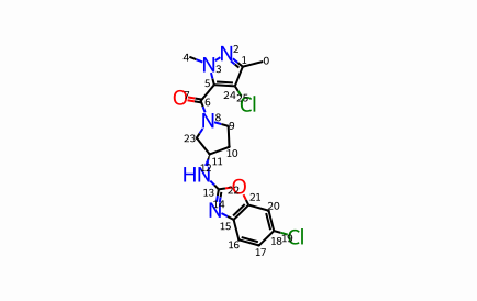 Cc1nn(C)c(C(=O)N2CC[C@@H](Nc3nc4ccc(Cl)cc4o3)C2)c1Cl